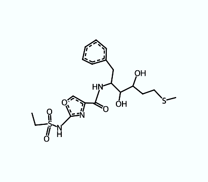 CCS(=O)(=O)Nc1nc(C(=O)NC(Cc2ccccc2)C(O)C(O)CCSC)co1